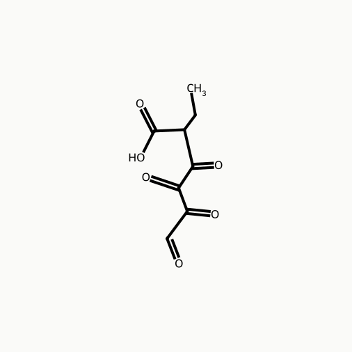 CCC(C(=O)O)C(=O)C(=O)C(=O)C=O